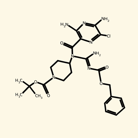 CC(C)(C)OC(=O)N1CCC(N(C(=O)c2nc(Cl)c(N)nc2N)C(N)=NC(=O)OCc2ccccc2)CC1